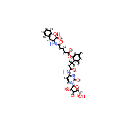 Cc1cc(C)c(C(C)(C)CC(=O)Nc2ccn(C3O[C@H](CO)[C@@H](O)[C@@H]3O)c(=O)n2)c(OC(=O)CCCC(=O)NC(Cc2ccccc2)C(=O)O)c1